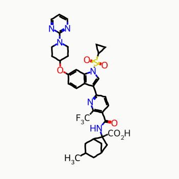 CC1CC2CC(C1)C(NC(=O)c1ccc(-c3cn(S(=O)(=O)C4CC4)c4cc(OC5CCN(c6ncccn6)CC5)ccc34)nc1C(F)(F)F)(C(=O)O)C2